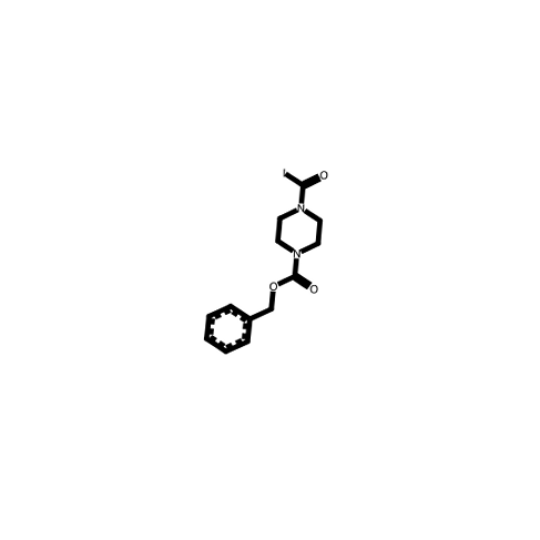 O=C(I)N1CCN(C(=O)OCc2ccccc2)CC1